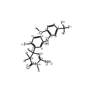 COc1ccc(C(F)(F)F)cc1Nc1ccc(F)c(C2(C)N=C(N)N(C)C(=O)C2(C)C)c1